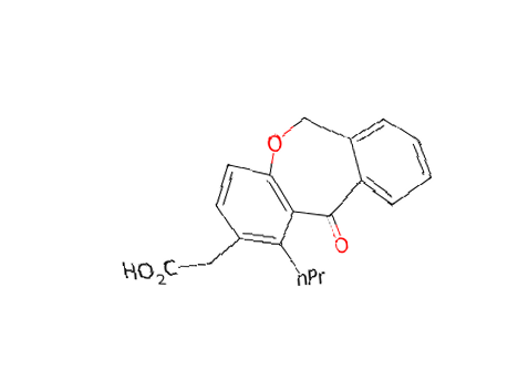 CCCc1c(CC(=O)O)ccc2c1C(=O)c1ccccc1CO2